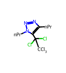 CCCc1nnn(CCC)c1C(Cl)(Cl)C(Cl)(Cl)Cl